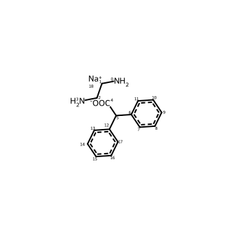 NCCN.O=C([O-])C(c1ccccc1)c1ccccc1.[Na+]